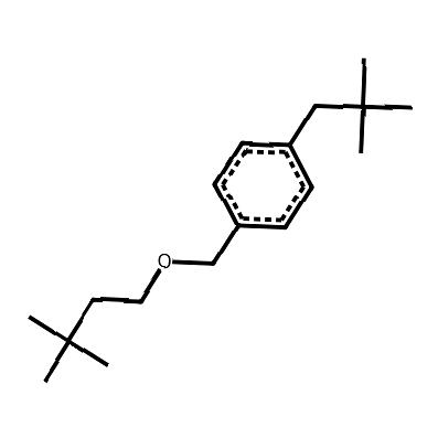 CC(C)(C)CCOCc1ccc(CC(C)(C)C)cc1